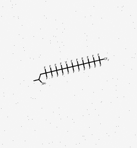 CC(S)CC(F)(F)C(F)(F)C(F)(F)C(F)(F)C(F)(F)C(F)(F)C(F)(F)C(F)(F)C(F)(F)C(F)(F)C(F)(F)C(F)(F)F